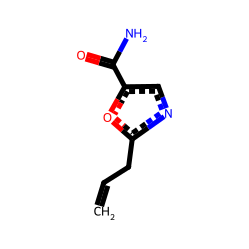 C=CCc1ncc(C(N)=O)o1